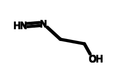 N=NCCO